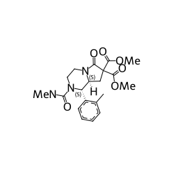 CNC(=O)N1CCN2C(=O)C(C(=O)OC)(C(=O)OC)C[C@H]2[C@@H]1c1ccccc1C